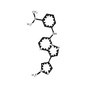 CN(C)c1cccc(Nc2ccnc3c(-c4cnn(C)c4)cnn23)c1